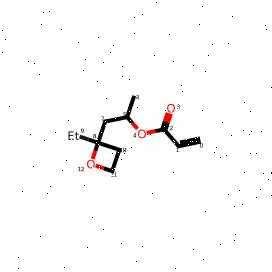 C=CC(=O)OC(C)CC1(CC)CCO1